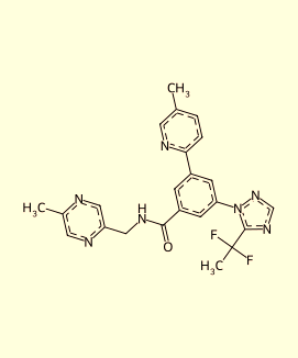 Cc1ccc(-c2cc(C(=O)NCc3cnc(C)cn3)cc(-n3ncnc3C(C)(F)F)c2)nc1